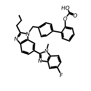 CCCc1nc2ccc(-c3nc4cc(F)ccc4n3C)cc2n1Cc1ccc(-c2ccccc2OC(=O)O)cc1